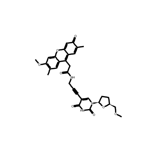 COC[C@@H]1CC[C@H](n2cc(C#CCNC(=O)Cc3c4cc(C)c(=O)cc-4oc4cc(OC)c(C)cc34)c(=O)[nH]c2=O)O1